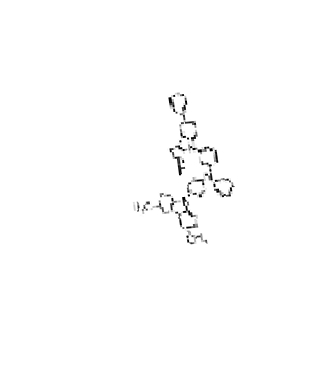 Cc1ccc2c(c1)c1cc(C)ccc1n2-c1ccc2c(c1)c1ccccc1n2-c1cccc(-n2c3ccc(-c4ccccc4)cc3c3cc[nH]c32)c1